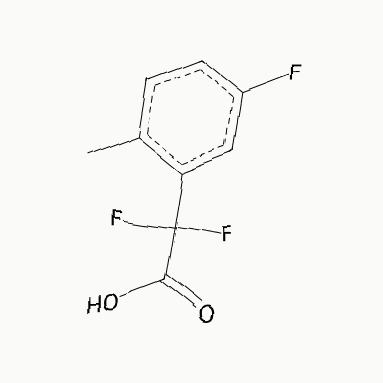 Cc1ccc(F)cc1C(F)(F)C(=O)O